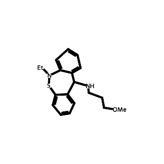 CCN1Sc2ccccc2C(NCCCOC)c2ccccc21